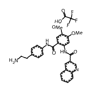 COc1cc(NC(=O)c2cnc3ccccc3c2)c(C(=O)Nc2ccc(CCN)cc2)cc1OC.O=C(O)C(F)(F)F